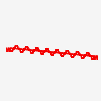 OOOOOOOOOOOOOOOOO